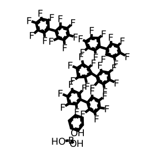 Fc1c(F)c(F)c(-c2c(F)c(F)c(F)c(F)c2F)c(F)c1F.Fc1c(F)c(F)c(-c2c(F)c(F)c(F)c(F)c2F)c(F)c1F.Fc1c(F)c(F)c(-c2c(F)c(F)c(F)c(F)c2F)c(F)c1F.Fc1c(F)c(F)c(-c2c(F)c(F)c(F)c(F)c2F)c(F)c1F.OB(O)O.c1ccccc1